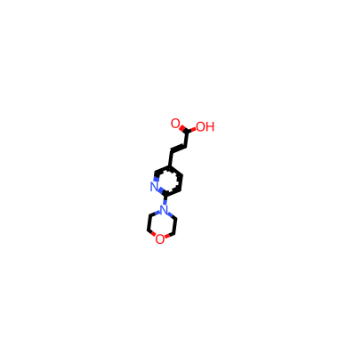 O=C(O)C=Cc1ccc(N2CCOCC2)nc1